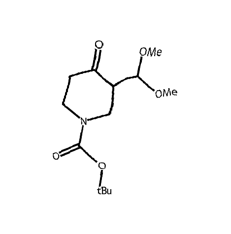 COC(OC)C1CN(C(=O)OC(C)(C)C)CCC1=O